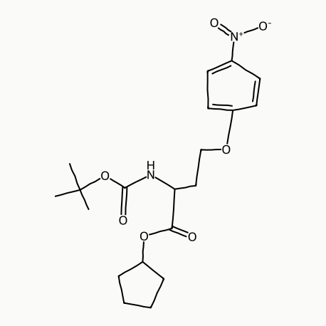 CC(C)(C)OC(=O)NC(CCOc1ccc([N+](=O)[O-])cc1)C(=O)OC1CCCC1